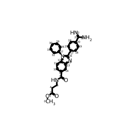 COC(=O)CCNC(=O)c1ccc2c(c1)nc(-c1ccc(C(=N)N)cc1)n2-c1ccccc1